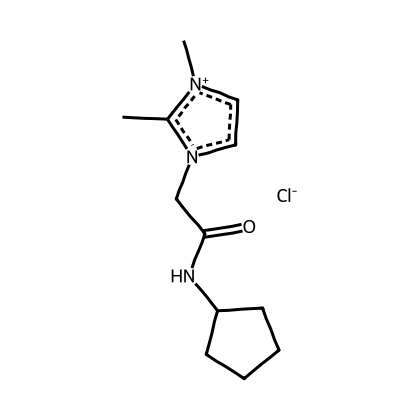 Cc1n(CC(=O)NC2CCCC2)cc[n+]1C.[Cl-]